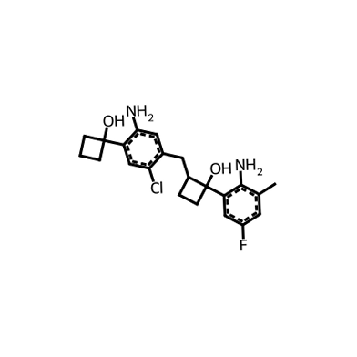 Cc1cc(F)cc(C2(O)CCC2Cc2cc(N)c(C3(O)CCC3)cc2Cl)c1N